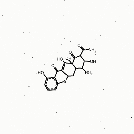 NC(=O)C1C(=O)C2(O)C(O)=C3C(=O)c4c(O)cccc4SC3CC2C(N)C1O